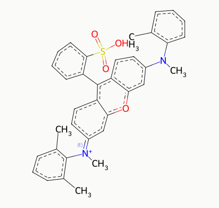 Cc1ccccc1N(C)c1ccc2c(-c3ccccc3S(=O)(=O)O)c3cc/c(=[N+](/C)c4c(C)cccc4C)cc-3oc2c1